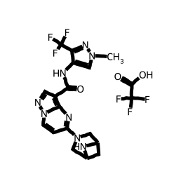 Cn1cc(NC(=O)c2cnn3ccc(N4CC5CC(C4)N5)nc23)c(C(F)(F)F)n1.O=C(O)C(F)(F)F